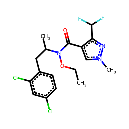 CCON(C(=O)c1cn(C)nc1C(F)F)C(C)Cc1ccc(Cl)cc1Cl